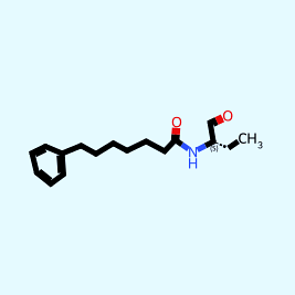 CC[C@@H](C=O)NC(=O)CCCCCCc1ccccc1